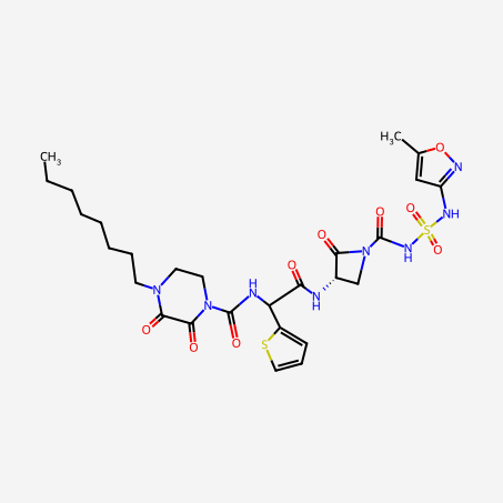 CCCCCCCCN1CCN(C(=O)NC(C(=O)N[C@H]2CN(C(=O)NS(=O)(=O)Nc3cc(C)on3)C2=O)c2cccs2)C(=O)C1=O